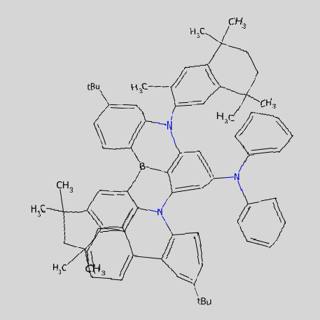 Cc1cc2c(cc1N1c3cc(C(C)(C)C)ccc3B3c4cc5c(cc4N(c4ccc(C(C)(C)C)cc4-c4ccccc4)c4cc(N(c6ccccc6)c6ccccc6)cc1c43)C(C)(C)CC5(C)C)C(C)(C)CCC2(C)C